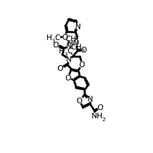 COc1cccnc1CNC(=O)[C@@]1(C)COc2c(oc3cc(-c4nc(C(N)=O)co4)ccc23)C(=O)N1CC(=O)N(C)C